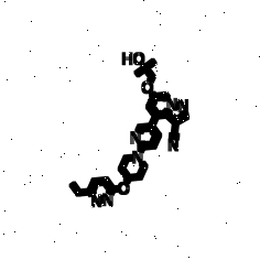 CCc1ccc(OC2CCN(c3ccc(-c4cc(OCC(C)(C)O)cn5ncc(C#N)c45)cn3)CC2)nn1